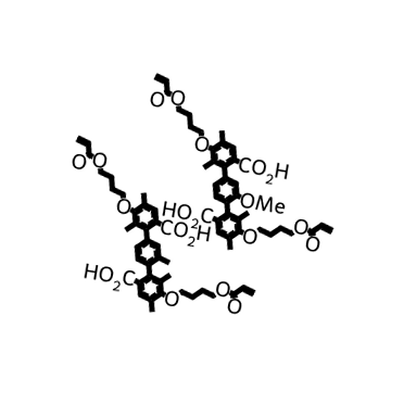 C=CC(=O)OCCCCOc1c(C)cc(C(=O)O)c(-c2ccc(-c3c(C(=O)O)cc(C)c(OCCCCOC(=O)C=C)c3C)c(C)c2)c1C.C=CC(=O)OCCCCOc1c(C)cc(C(=O)O)c(-c2ccc(-c3c(C(=O)O)cc(C)c(OCCCCOC(=O)C=C)c3C)c(OC)c2)c1C